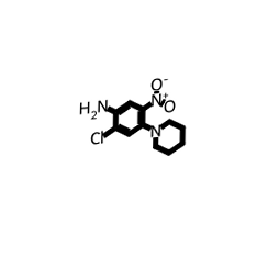 Nc1cc([N+](=O)[O-])c(N2CCCCC2)cc1Cl